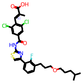 C/C(=C\c1c(Cl)cc(C(=O)Nc2nc(-c3cccc(CCCOCCCC(C)C)c3F)cs2)cc1Cl)C(=O)O